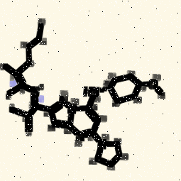 C=C(C)/C(=N\C(C)=C(\C)CCCC)c1cc2nc(N3CCCC3)cc(N[C@H]3CC[C@H](OC)CC3)n2n1